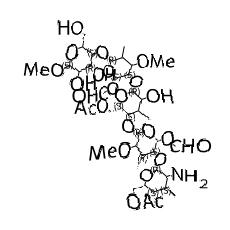 COC1[C@H](O[C@H]2C(C)C(O)[C@@H](O[C@H]3C(OC)C(C)[C@H](O[C@@H]4C(CO)O[C@H](OC)C(O)[C@H]4O)O[C@H]3OC=O)O[C@H]2COC(C)=O)OC(OC=O)[C@@H](O[C@H]2OC(COC(C)=O)[C@@H](C)[C@H](C)C2N)[C@@H]1C